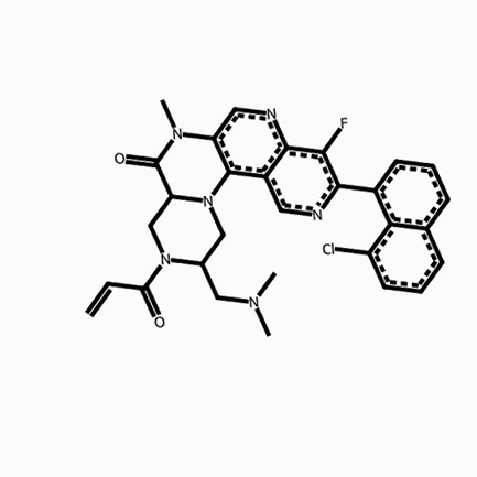 C=CC(=O)N1CC2C(=O)N(C)c3cnc4c(F)c(-c5cccc6cccc(Cl)c56)ncc4c3N2CC1CN(C)C